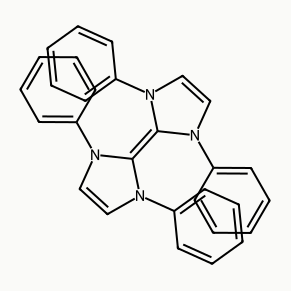 C1=CN(c2ccccc2)C(=C2N(c3ccccc3)C=CN2c2ccccc2)N1c1ccccc1